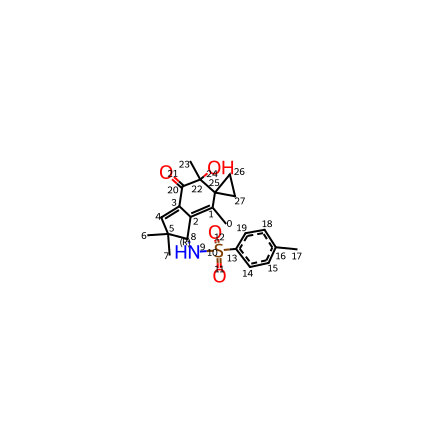 CC1=C2C(=CC(C)(C)[C@H]2NS(=O)(=O)c2ccc(C)cc2)C(=O)C(C)(O)C12CC2